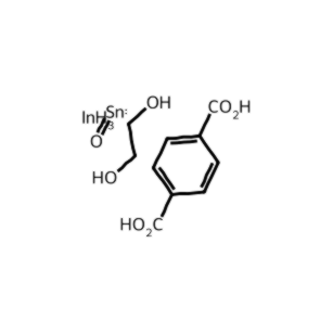 O=C(O)c1ccc(C(=O)O)cc1.OCCO.[InH3].[O]=[Sn]